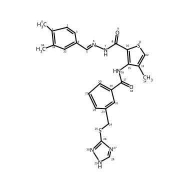 Cc1ccc(/C=N/NC(=O)c2scc(C)c2NC(=O)c2cccc(CSc3nc[nH]n3)c2)cc1C